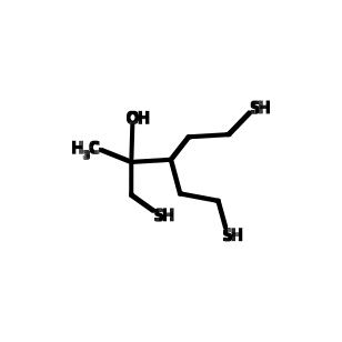 CC(O)(CS)C(CCS)CCS